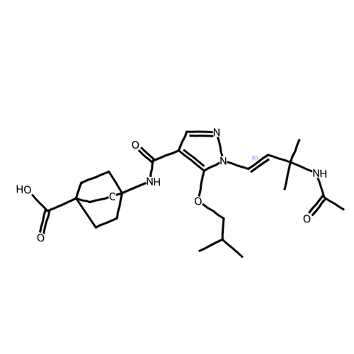 CC(=O)NC(C)(C)/C=C/n1ncc(C(=O)NC23CCC(C(=O)O)(CC2)CC3)c1OCC(C)C